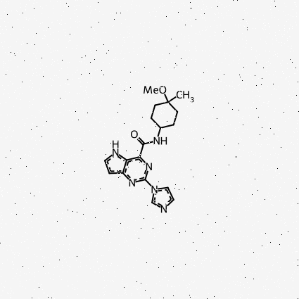 COC1(C)CCC(NC(=O)c2nc(-n3ccnc3)nc3cc[nH]c23)CC1